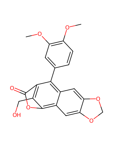 COc1ccc(-c2c3c(CO)c(c4cc5c(cc24)OCO5)OC3=O)cc1OC